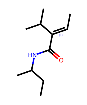 C/C=C(/C(=O)NC(C)CC)C(C)C